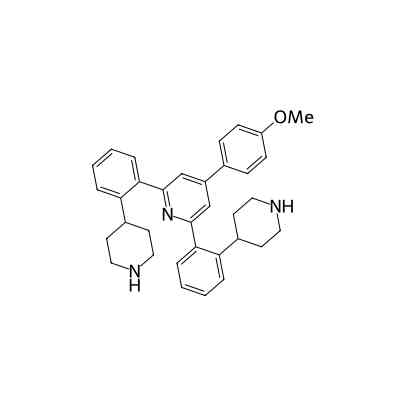 COc1ccc(-c2cc(-c3ccccc3C3CCNCC3)nc(-c3ccccc3C3CCNCC3)c2)cc1